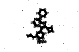 C=CCc1cc(-c2c(C3CCC3)nc3c(N4CCCCC4)nccn23)ccc1NC